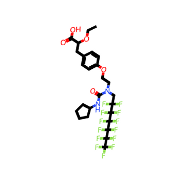 CCOC(Cc1ccc(OCCN(CC(F)(F)C(F)(F)C(F)(F)C(F)(F)C(F)(F)C(F)(F)F)C(=O)NC2CCCC2)cc1)C(=O)O